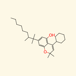 CCCCCCC(C)C(C)(C)c1cc(O)c2c(c1)OC(C)(C)C=C2C1CCCCC1